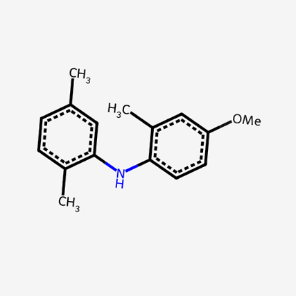 COc1ccc(Nc2cc(C)ccc2C)c(C)c1